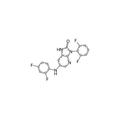 O=c1[nH]c2cc(Nc3ccc(F)cc3F)cnc2n1-c1c(F)cccc1F